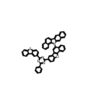 c1ccc(-c2nc(-c3ccc4oc5c6ccccc6c(-n6c7cc8ccccc8cc7c7ccc8ccccc8c76)cc5c4c3)nc(-c3ccc4sc5ccccc5c4c3)n2)cc1